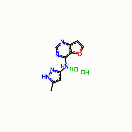 Cc1cc(Nc2ncnc3ccoc23)n[nH]1.Cl.Cl